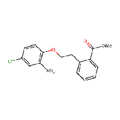 COC(=O)c1ccccc1CCOc1ccc(Cl)cc1[N+](=O)[O-]